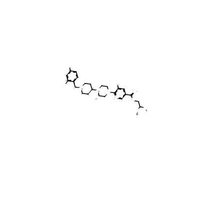 CCOC(CNC(=N)c1cnc(N2CCN(C3CCN(Cc4ccc(Cl)cc4F)CC3)[C@@H](CC)C2)c(Cl)c1)OCC